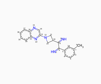 Cc1cccc(C(=N)C(=N)C2CN(c3cnc4ccccc4n3)C2)c1